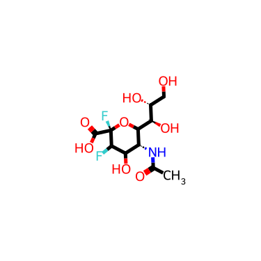 CC(=O)N[C@@H]1C(O)C(F)[C@](F)(C(=O)O)OC1[C@H](O)[C@H](O)CO